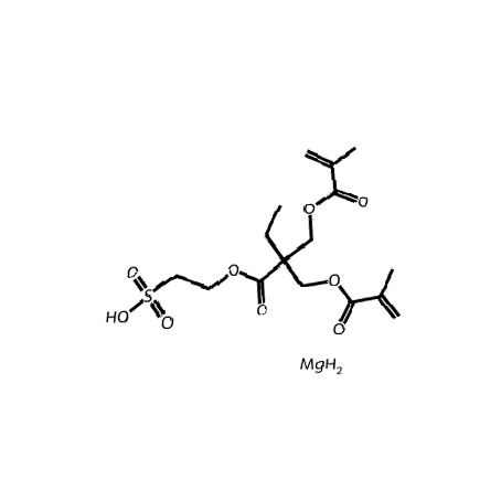 C=C(C)C(=O)OCC(CC)(COC(=O)C(=C)C)C(=O)OCCS(=O)(=O)O.[MgH2]